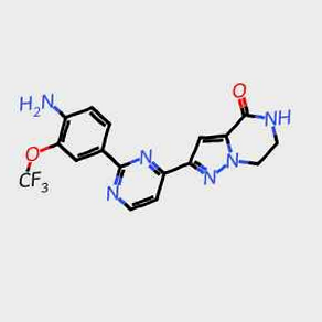 Nc1ccc(-c2nccc(-c3cc4n(n3)CCNC4=O)n2)cc1OC(F)(F)F